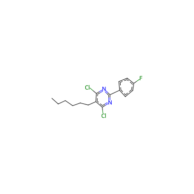 CCCCCCc1c(Cl)nc(-c2ccc(F)cc2)nc1Cl